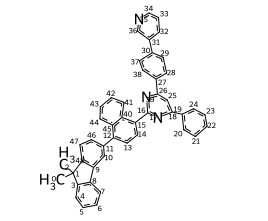 CC1(C)c2ccccc2-c2cc(-c3ccc(-c4nc(-c5ccccc5)cc(-c5ccc(-c6cccnc6)cc5)n4)c4ccccc34)ccc21